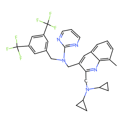 Cc1cccc2cc(CN(Cc3cc(C(F)(F)F)cc(C(F)(F)F)c3)c3ncccn3)c(CN(C3CC3)C3CC3)nc12